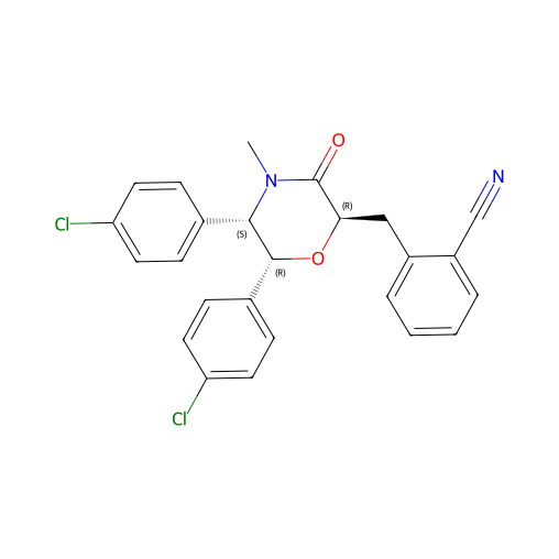 CN1C(=O)[C@@H](Cc2ccccc2C#N)O[C@H](c2ccc(Cl)cc2)[C@@H]1c1ccc(Cl)cc1